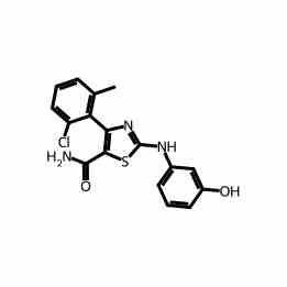 Cc1cccc(Cl)c1-c1nc(Nc2cccc(O)c2)sc1C(N)=O